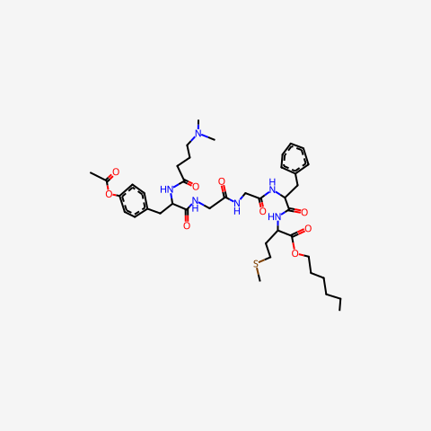 CCCCCCOC(=O)C(CCSC)NC(=O)C(Cc1ccccc1)NC(=O)CNC(=O)CNC(=O)C(Cc1ccc(OC(C)=O)cc1)NC(=O)CCCN(C)C